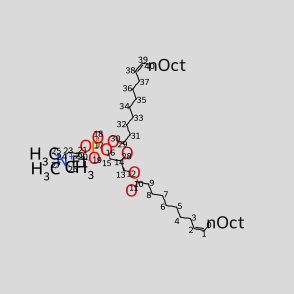 CCCCCCCC/C=C\CCCCCCCC(=O)OC[C@@H](COP(=O)(OCC)OCC[N+](C)(C)C)OC(=O)CCCCCCC/C=C\CCCCCCCC